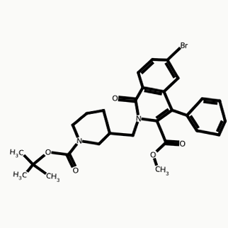 COC(=O)c1c(-c2ccccc2)c2cc(Br)ccc2c(=O)n1CC1CCCN(C(=O)OC(C)(C)C)C1